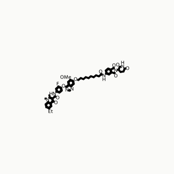 CCc1ccc2c(c1)c(=O)c(C(=O)Nc1ccc(Oc3ncnc4cc(OCCCCCCCCCC(=O)Nc5ccc6c(c5)C(=O)N(C5CCC(=O)NC5=O)C6=O)c(OC)cc34)c(F)c1)c(C)n2C